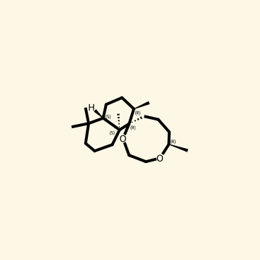 C[C@@H]1CCC[C@@]2(OCCO1)[C@H](C)CC[C@H]1C(C)(C)CCC[C@@]12C